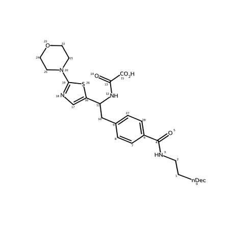 CCCCCCCCCCCCNC(=O)c1ccc(CC(NC(=O)C(=O)O)c2cnc(N3CCOCC3)s2)cc1